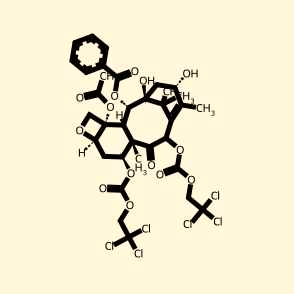 CC(=O)O[C@@]12CO[C@@H]1C[C@H](OC(=O)OCC(Cl)(Cl)Cl)[C@@]1(C)C(=O)C(OC(=O)OCC(Cl)(Cl)Cl)C3=C(C)[C@@H](O)C[C@@](O)([C@@H](OC(=O)c4ccccc4)[C@H]21)C3(C)C